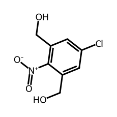 O=[N+]([O-])c1c(CO)cc(Cl)cc1CO